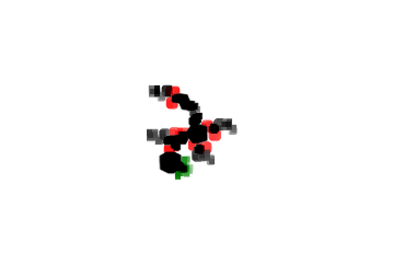 CCC(O)(C=C[C@@H]1[C@@H](CC=C=CCCC(=O)OC)[C@@H](OC(C)=O)C[C@H]1OC(C)=O)COc1cccc(C(F)(F)F)c1